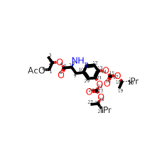 CC(=O)OCC(C)OC(=O)[C@@H](N)Cc1ccc(OC(=O)O[C@@H](C)C(C)C)c(OC(=O)OC(C)C(C)C)c1